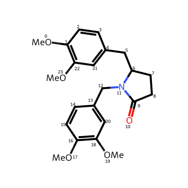 COc1ccc(CC2CCC(=O)N2Cc2ccc(OC)c(OC)c2)cc1OC